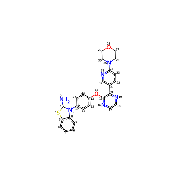 NC1Sc2ccccc2N1c1ccc(Oc2nccnc2-c2ccc(N3CCOCC3)nc2)cc1